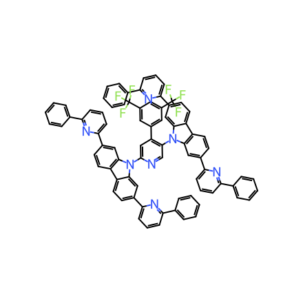 FC(F)(F)c1cc(-c2cc(-n3c4cc(-c5cccc(-c6ccccc6)n5)ccc4c4ccc(-c5cccc(-c6ccccc6)n5)cc43)ncc2-n2c3cc(-c4cccc(-c5ccccc5)n4)ccc3c3ccc(-c4cccc(-c5ccccc5)n4)cc32)cc(C(F)(F)F)c1